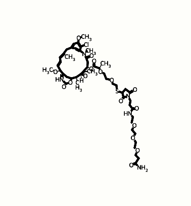 COc1cc2cc(c1Cl)N(C)C(=O)C[C@H](OC(=O)[C@H](C)OCCOCCSC1CC(=O)N(CCC(=O)NCCOCCOCCOCCC(N)=O)C1=O)[C@]1(C)O[C@H]1[C@H](C)C1C[C@@H](NC(=O)O1)[C@H](OC)/C=C/C=C(\C)C2